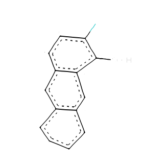 O=S(=O)(O)c1c(F)ccc2cc3ccccc3cc12